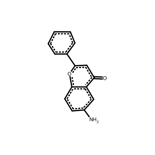 Nc1ccc2oc(-c3ccccc3)cc(=O)c2c1